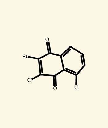 CCC1=C(Cl)C(=O)c2c(Cl)cccc2C1=O